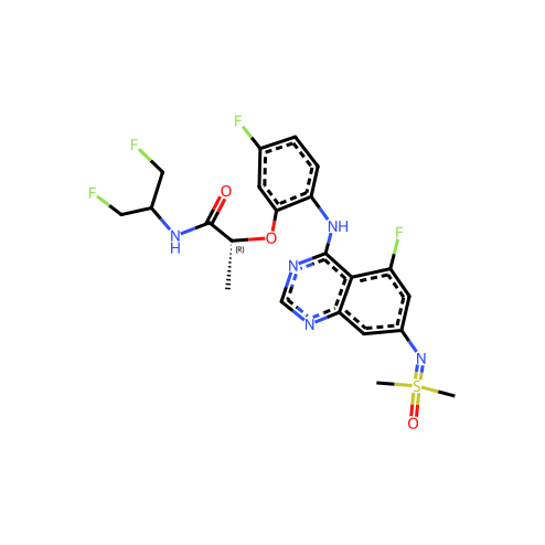 C[C@@H](Oc1cc(F)ccc1Nc1ncnc2cc(N=S(C)(C)=O)cc(F)c12)C(=O)NC(CF)CF